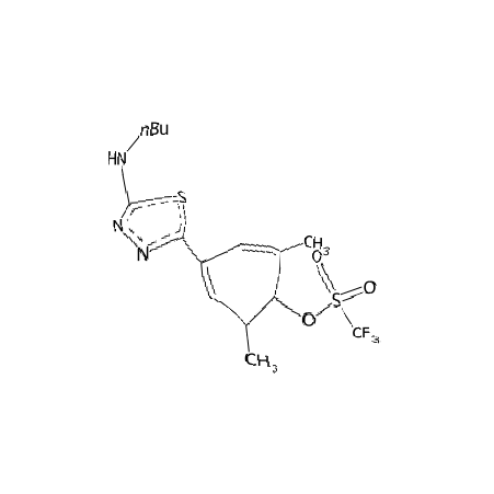 CCCCNc1nnc(C2=CC(C)C(OS(=O)(=O)C(F)(F)F)C(C)=C2)s1